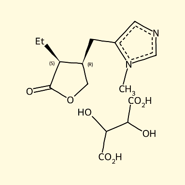 CC[C@@H]1C(=O)OC[C@@H]1Cc1cncn1C.O=C(O)C(O)C(O)C(=O)O